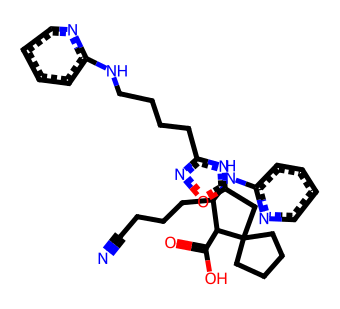 N#CCCCC(Nc1ccccn1)C(C(=O)O)C1(Cc2nc(CCCCNc3ccccn3)no2)CCCC1